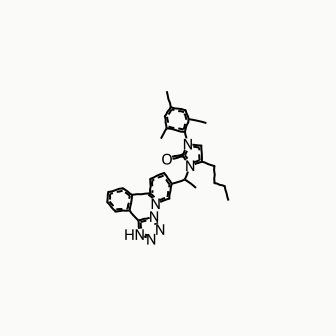 CCCCc1cn(-c2c(C)cc(C)cc2C)c(=O)n1C(C)c1ccc(-c2ccccc2-c2nnn[nH]2)nc1